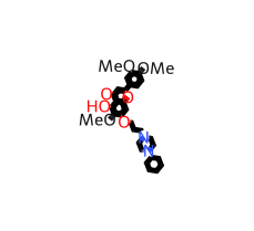 COc1ccc(-c2cc(=O)c3c(O)c(OC)c(OCCCN4CCN(C5CCCCC5)CC4)cc3o2)cc1OC